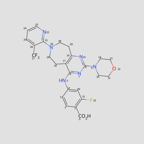 O=C(O)c1ccc(Nc2nc(N3CCOCC3)nc3c2CCN(c2ncccc2C(F)(F)F)CC3)cc1F